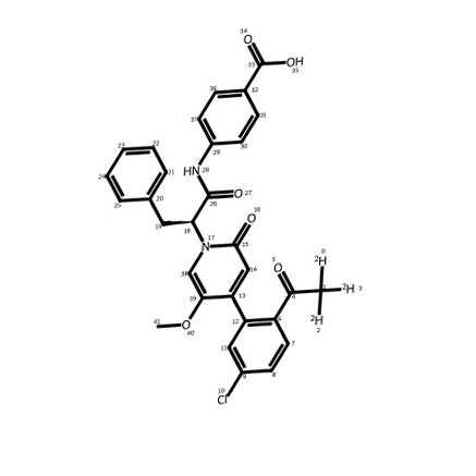 [2H]C([2H])([2H])C(=O)c1ccc(Cl)cc1-c1cc(=O)n([C@@H](Cc2ccccc2)C(=O)Nc2ccc(C(=O)O)cc2)cc1OC